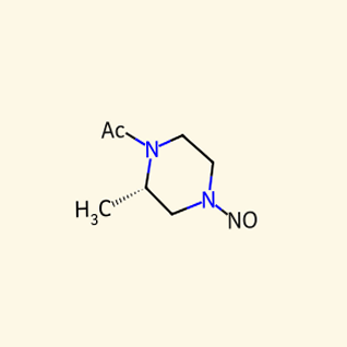 CC(=O)N1CCN(N=O)C[C@@H]1C